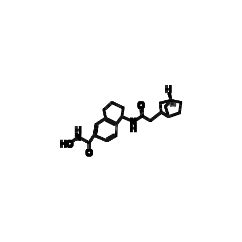 O=C(CC1C[C@@H]2CCC1C2)NC1CCCc2cc(C(=O)NO)ccc21